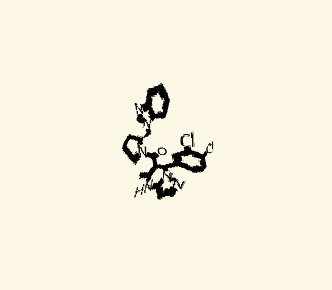 CC1=C(C(=O)N2CCC[C@H]2Cn2cnc3ccccc32)C(c2ccc(Cl)c(Cl)c2)n2nccc2N1